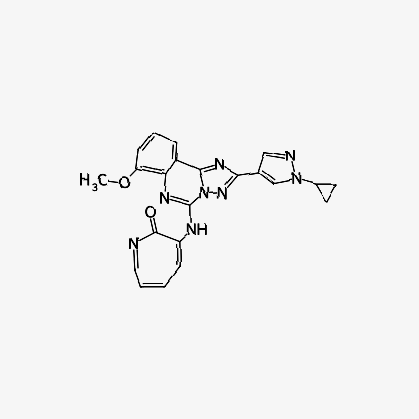 COc1cccc2c1nc(Nc1ccccnc1=O)n1nc(-c3cnn(C4CC4)c3)nc21